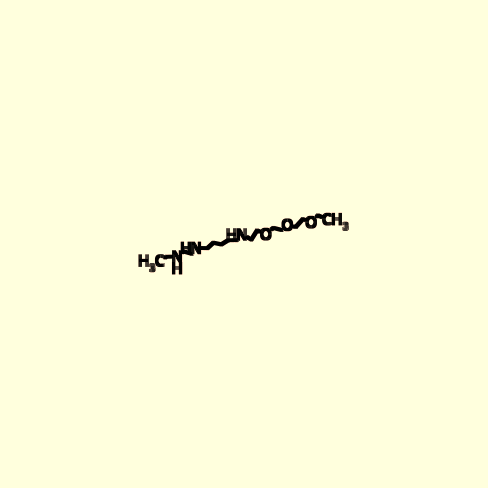 CCNCCNCCCCCNCCOCCOCCOCC